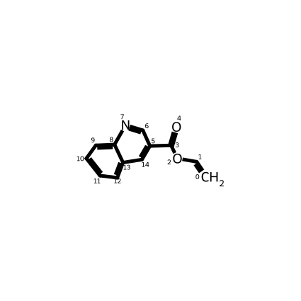 C=COC(=O)c1cnc2ccccc2c1